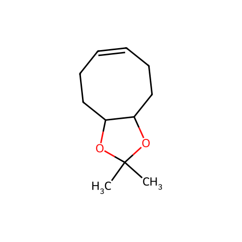 CC1(C)OC2CCC=CCCC2O1